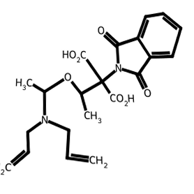 C=CCN(CC=C)C(C)OC(C)C(C(=O)O)(C(=O)O)N1C(=O)c2ccccc2C1=O